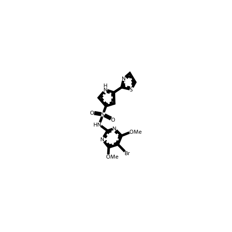 COc1nc(NS(=O)(=O)c2c[nH]c(-c3nccs3)c2)nc(OC)c1Br